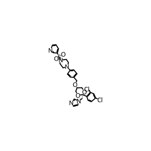 O=S(=O)(c1cccnc1)N1CCN(c2ccc(CO[C@H]3CO[C@](Cn4ccnc4)(c4ccc(Cl)cc4Cl)OC3)cc2)CC1